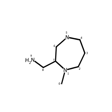 CN1CCC[N]CC1CN